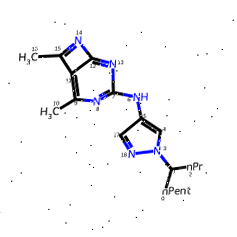 CCCCCC(CCC)n1cc(Nc2nc(C)c3c(n2)N=C3C)cn1